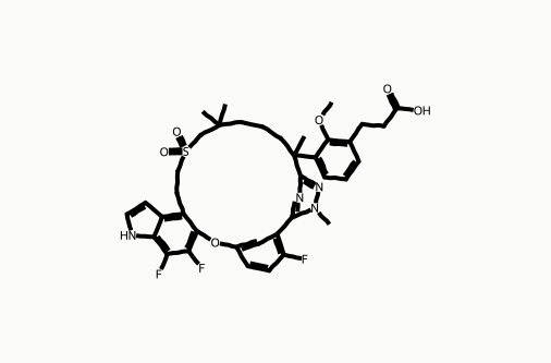 COc1c(CCC(=O)O)cccc1C1(C)CCCC(C)(C)CS(=O)(=O)CCc2c(c(F)c(F)c3[nH]ccc23)Oc2ccc(F)c(c2)-c2nc1nn2C